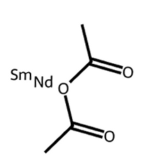 CC(=O)OC(C)=O.[Nd].[Sm]